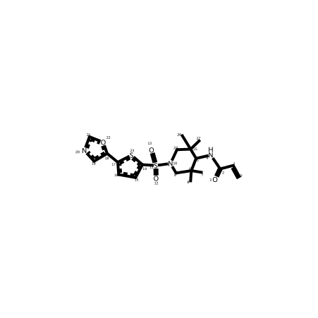 C=CC(=O)NC1C(C)(C)CN(S(=O)(=O)c2ccc(-c3cnco3)s2)CC1(C)C